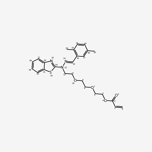 C=CC(=O)OCCOCCOCCN(/N=C/c1cc(C)ccc1C)c1nc2ccccc2s1